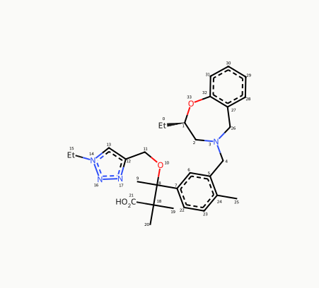 CC[C@@H]1CN(Cc2cc(C(C)(OCc3cn(CC)nn3)C(C)(C)C(=O)O)ccc2C)Cc2ccccc2O1